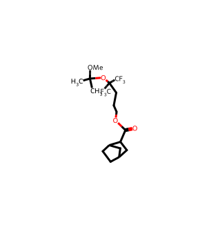 COC(C)(C)OC(CCCOC(=O)C1CC2CCC1C2)(C(F)(F)F)C(F)(F)F